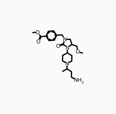 COCC1CN(Cc2ccc(C(=O)OC)cc2)C(=O)N1C1CCN(C(C)CCN)CC1